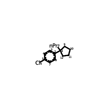 CCCC1(c2ccc(Cl)cc2)CCCC1